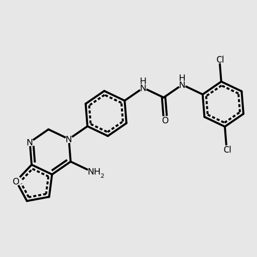 NC1=c2ccoc2=NCN1c1ccc(NC(=O)Nc2cc(Cl)ccc2Cl)cc1